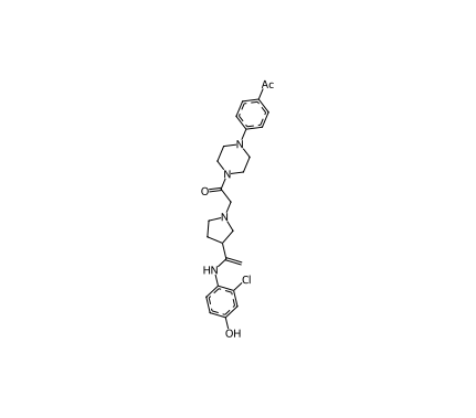 C=C(Nc1ccc(O)cc1Cl)C1CCN(CC(=O)N2CCN(c3ccc(C(C)=O)cc3)CC2)C1